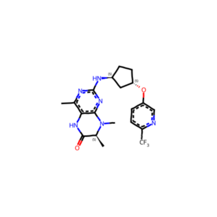 Cc1nc(N[C@H]2CC[C@H](Oc3ccc(C(F)(F)F)nc3)C2)nc2c1NC(=O)[C@H](C)N2C